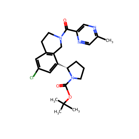 Cc1cnc(C(=O)N2CCc3cc(Cl)cc([C@@H]4CCCN4C(=O)OC(C)(C)C)c3C2)cn1